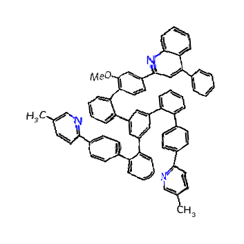 COc1cc(-c2cc(-c3ccccc3)c3ccccc3n2)ccc1-c1ccccc1-c1cc(-c2ccccc2-c2ccc(-c3ccc(C)cn3)cc2)cc(-c2ccccc2-c2ccc(-c3ccc(C)cn3)cc2)c1